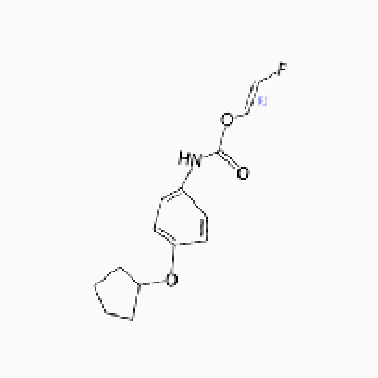 O=C(Nc1ccc(OC2CCCC2)cc1)O/C=C/F